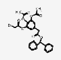 CC(=O)Oc1cc(CC(=O)OC(c2ccccc2)c2ccccc2)cc(OC(=O)CBr)c1OC(C)=O